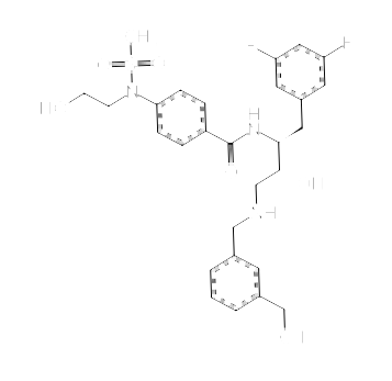 CCc1cccc(CNC[C@@H](O)[C@H](Cc2cc(F)cc(F)c2)NC(=O)c2ccc(N(CCO)S(C)(=O)=O)cc2)c1